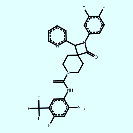 C=C(Nc1cc(C(F)(F)F)c(F)cc1N)N1CCC2(CC1)C(=O)N(c1ccc(F)c(F)c1)C2c1ccccn1